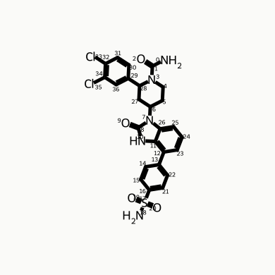 NC(=O)N1CCC(n2c(=O)[nH]c3c(-c4ccc(S(N)(=O)=O)cc4)cccc32)CC1c1ccc(Cl)c(Cl)c1